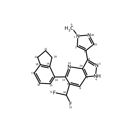 Cn1cc(-c2n[nH]c3cc(C(F)F)c(-c4cccc5c4CCC5)nc23)cn1